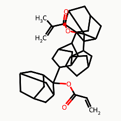 C=CC(=O)OC1(C2CC3CC2CC3C23CC4CC(C2)C(OC(=O)C(=C)C)(C2CC5CCC2C5)C(C4)C3)C2CC3CC(C2)CC1C3